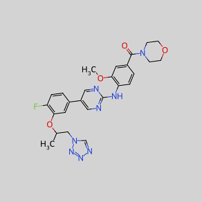 COc1cc(C(=O)N2CCOCC2)ccc1Nc1ncc(-c2ccc(F)c(OC(C)Cn3cnnn3)c2)cn1